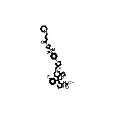 O=C(O)N[C@H]1CCC[C@@H]1[C@](CN1CCC1)(c1cccc(F)c1)C1CCN(C[C@]2(F)CCN(c3ccc(S(=O)(=O)C4CN(C(=O)/C=C/CN5CCCCC5)C4)cc3)C2)CC1